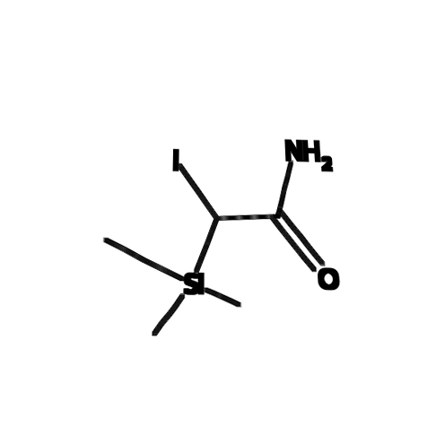 C[Si](C)(C)C(I)C(N)=O